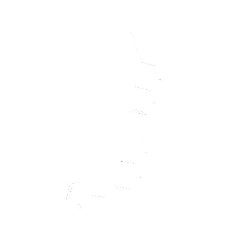 N#Cc1ccc2cc(OCCC3CCN(Cc4nccs4)CC3)ccc2c1